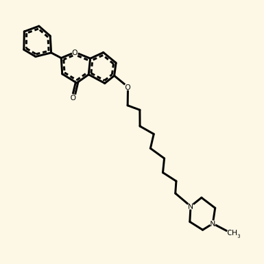 CN1CCN(CCCCCCCCCOc2ccc3oc(-c4ccccc4)cc(=O)c3c2)CC1